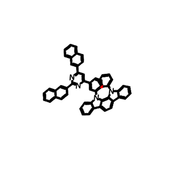 c1ccc(-n2c3ccccc3c3ccc4c5ccccc5n(-c5cccc(-c6cc(-c7ccc8ccccc8c7)nc(-c7ccc8ccccc8c7)n6)c5)c4c32)cc1